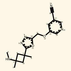 CNC1(C)CC(C)(c2nnc(COc3cncc(C#N)c3)o2)C1